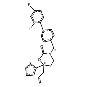 C=CC[C@]1(c2cccs2)CCN([C@@H](C)c2ccc(-c3ccc(F)cc3F)cc2)C(=O)O1